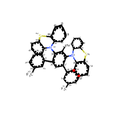 CC(C)(C)c1c(N2c3ccccc3Sc3ccccc32)c(-c2cccc(C(F)(F)F)c2)cc(-c2cccc(C(F)(F)F)c2)c1N1c2ccccc2Sc2ccccc21